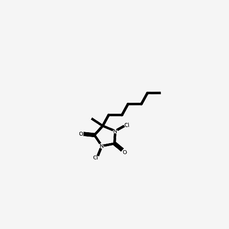 CCCCCCC1(C)C(=O)N(Cl)C(=O)N1Cl